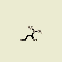 CN(C)C(=N)CC[O]